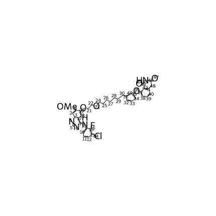 COc1cc2ncnc(Nc3cccc(Cl)c3F)c2cc1OCCOCCCCCCCc1cccc(Oc2cccc3c2C(=O)NC(=O)C3)c1